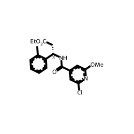 CCOC(=O)C[C@H](NC(=O)c1cc(Cl)nc(OC)c1)c1ccccc1C